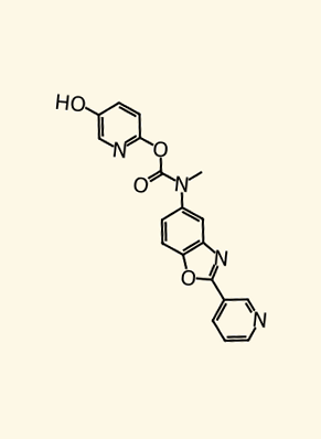 CN(C(=O)Oc1ccc(O)cn1)c1ccc2oc(-c3cccnc3)nc2c1